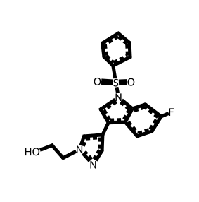 O=S(=O)(c1ccccc1)n1cc(-c2cnn(CCO)c2)c2ccc(F)cc21